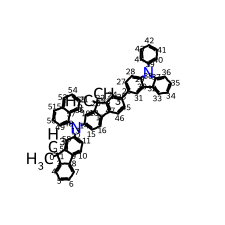 CC1(C)c2ccccc2-c2ccc(N(c3ccc4c(c3)C(C)(C)c3cc(-c5ccc6c(c5)c5ccccc5n6-c5ccccc5)ccc3-4)c3cccc4ccccc34)cc21